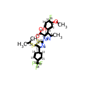 COc1cc(-c2c(C)nn(-c3nc(-c4ccc(C(F)(F)F)cc4)c(SC(C)C)s3)c2C(=O)O)ccc1F